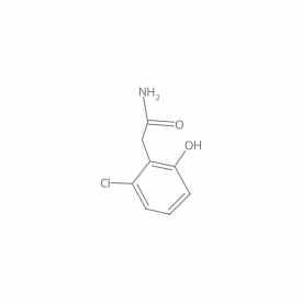 NC(=O)Cc1c(O)cccc1Cl